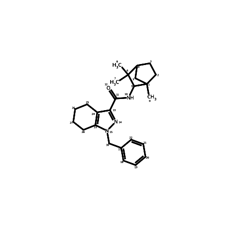 CC12CCC(C1)C(C)(C)C2NC(=O)c1nn(Cc2ccccc2)c2c1CCCC2